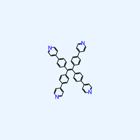 c1cc(-c2ccc(C(=C(c3ccc(-c4ccncc4)cc3)c3ccc(-c4ccncc4)cc3)c3ccc(-c4ccncc4)cc3)cc2)ccn1